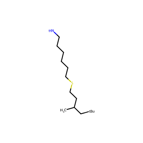 CC(CCSCCCCCC[NH])CC(C)(C)C